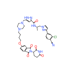 CC(Cn1ccc(-c2ccc(C#N)c(Cl)c2)n1)NC(=O)c1cc(CN2CCN(CCCCOc3ccc4c(c3)C(=O)N(C3CCC(=O)NC3=O)C4=O)CC2)[nH]n1